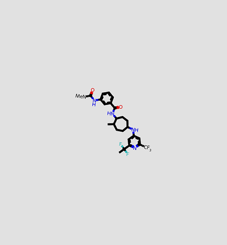 CNC(=O)Nc1cccc(C(=O)NC2CCC(Nc3cc(C(C)(F)F)nc(C(F)(F)F)c3)CCC2C)c1